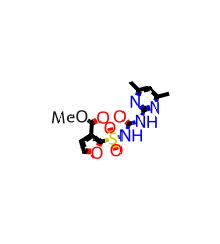 COC(=O)c1ccoc1S(=O)(=O)NC(=O)Nc1nc(C)cc(C)n1